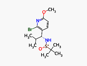 COc1ccc([C@H](N[S@+]([O-])C(C)(C)C)C(C)C)c(Br)n1